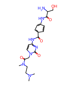 CN(C)CCN(C)C(=O)Cn1ccc(NC(=O)c2ccc(NC(=O)C(N)CO)cc2)nc1=O